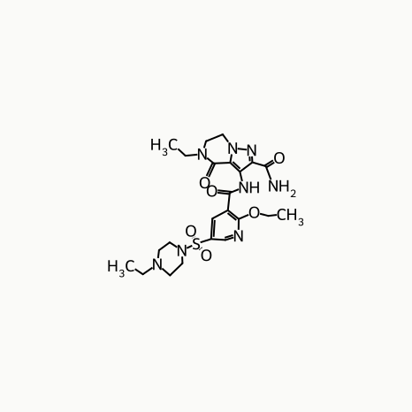 CCOc1ncc(S(=O)(=O)N2CCN(CC)CC2)cc1C(=O)Nc1c(C(N)=O)nn2c1C(=O)N(CC)CC2